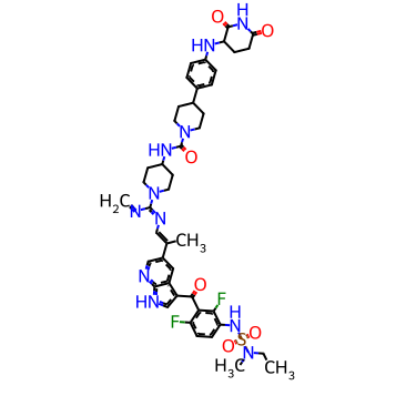 C=N/C(=N\C=C(/C)c1cnc2[nH]cc(C(=O)c3c(F)ccc(NS(=O)(=O)N(C)CC)c3F)c2c1)N1CCC(NC(=O)N2CCC(c3ccc(NC4CCC(=O)NC4=O)cc3)CC2)CC1